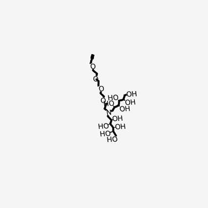 C#CCOCCOCCOCCOCCN(C[C@H](O)[C@@H](O)[C@H](O)[C@H](O)CO)C[C@H](O)[C@@H](O)[C@H](O)[C@H](O)CO